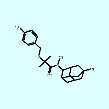 CC(C)(OCc1ccc(C(F)(F)F)cc1)C(=N)N(C#N)C1C2CC3CC1CC(C#N)(C3)C2